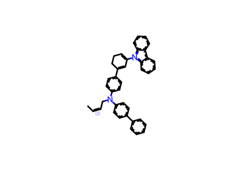 C/C=C\CN(c1ccc(C2=CC(n3c4ccccc4c4ccccc43)=CCC2)cc1)c1ccc(-c2ccccc2)cc1